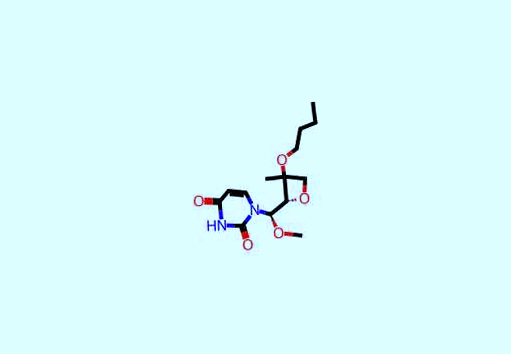 CCCCOC1(C)CO[C@@H]1[C@@H](OC)n1ccc(=O)[nH]c1=O